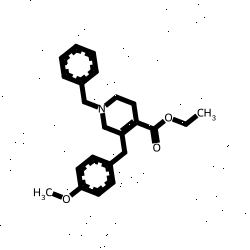 CCOC(=O)C1=C(Cc2ccc(OC)cc2)CN(Cc2ccccc2)CC1